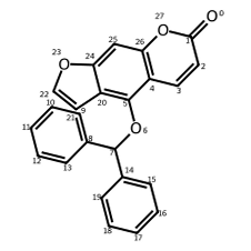 O=c1ccc2c(OC(c3ccccc3)c3ccccc3)c3ccoc3cc2o1